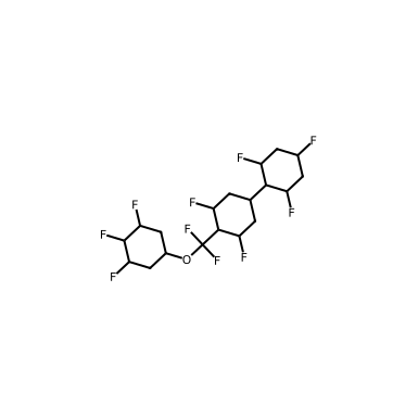 FC1CC(F)C(C2CC(F)C(C(F)(F)OC3CC(F)C(F)C(F)C3)C(F)C2)C(F)C1